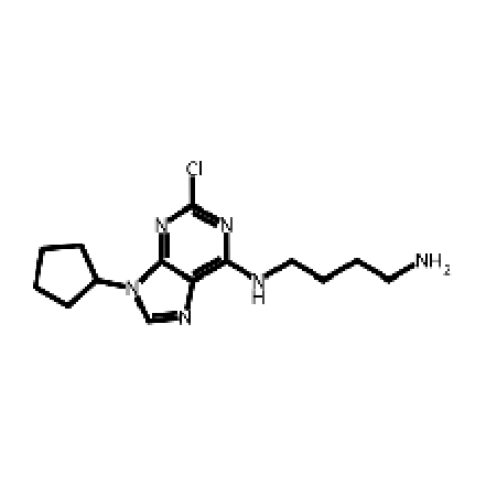 NCCCCNc1nc(Cl)nc2c1ncn2C1CCCC1